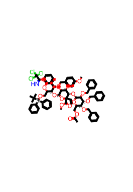 C=CC1(C(=O)OC)O[C@@H](O[C@@H]2C(CO[Si](c3ccccc3)(c3ccccc3)C(C)(C)C)OC(OC(=N)C(Cl)(Cl)Cl)C(C)[C@@H]2OCc2ccc(OC)cc2)C(OCc2ccccc2)[C@@H](OC)[C@@H]1O[C@@H]1OC(COC(C)=O)[C@@H](OCc2ccccc2)[C@@H](OCc2ccccc2)C1OCc1ccccc1